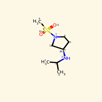 CC(C)N[C@@H]1CCN(S(C)(=O)=O)C1